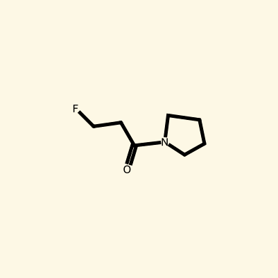 O=C(CCF)N1CCCC1